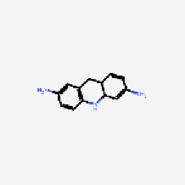 NC1=CC2Nc3ccc(N)cc3CC2C=C1